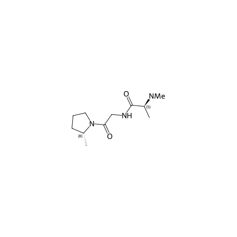 CN[C@@H](C)C(=O)NCC(=O)N1CCC[C@H]1C